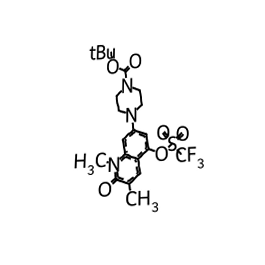 Cc1cc2c(OS(=O)(=O)C(F)(F)F)cc(N3CCN(C(=O)OC(C)(C)C)CC3)cc2n(C)c1=O